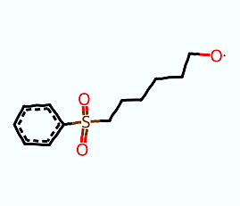 [O]CCCCCCS(=O)(=O)c1ccccc1